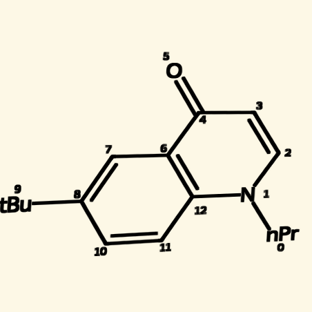 CCCn1ccc(=O)c2cc(C(C)(C)C)ccc21